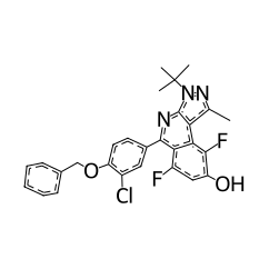 Cc1nn(C(C)(C)C)c2nc(-c3ccc(OCc4ccccc4)c(Cl)c3)c3c(F)cc(O)c(F)c3c12